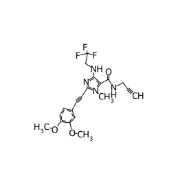 C#CCNC(=O)c1c(NCC(F)(F)F)nc(C#Cc2ccc(OC)c(OC)c2)n1C